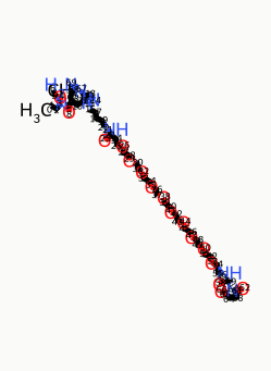 CCCN(OCC)C(=O)C1=Cc2c(cnn2CCCCCNC(=O)CCOCCOCCOCCOCCOCCOCCOCCOCCOCCOCCNC(=O)CN2C(=O)C=CC2=O)N=C(N)C1